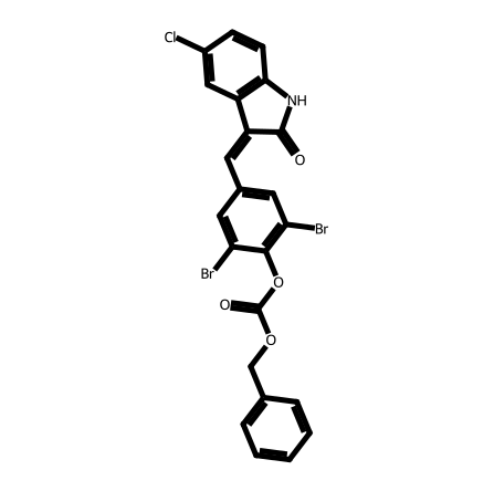 O=C(OCc1ccccc1)Oc1c(Br)cc(C=C2C(=O)Nc3ccc(Cl)cc32)cc1Br